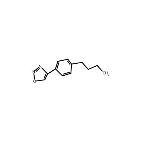 CCCCc1ccc(-c2conn2)cc1